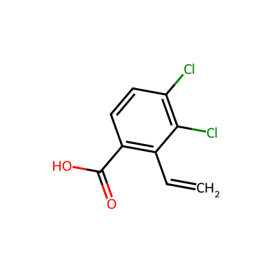 C=Cc1c(C(=O)O)ccc(Cl)c1Cl